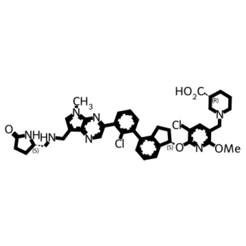 COc1nc(O[C@H]2CCc3c(-c4cccc(-c5cnc6c(CNC[C@@H]7CCC(=O)N7)cn(C)c6n5)c4Cl)cccc32)c(Cl)cc1CN1CCC[C@@H](C(=O)O)C1